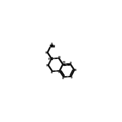 CC(C)(C)CN1CCc2ccccc2C1